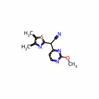 C=c1nc(C(C#N)c2ccnc(OC)n2)sc1=C